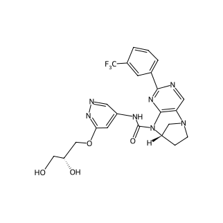 O=C(Nc1cnnc(OC[C@H](O)CO)c1)N1c2nc(-c3cccc(C(F)(F)F)c3)ncc2N2CC[C@H]1C2